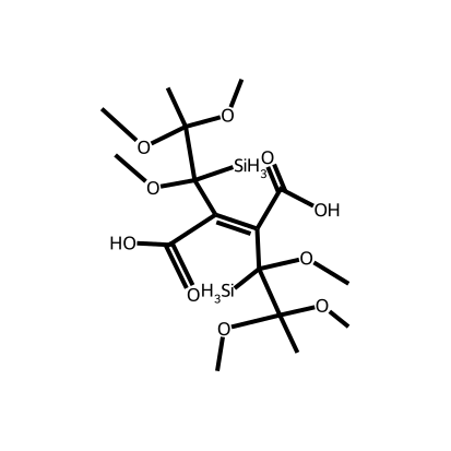 COC(C)(OC)C([SiH3])(OC)C(C(=O)O)=C(C(=O)O)C([SiH3])(OC)C(C)(OC)OC